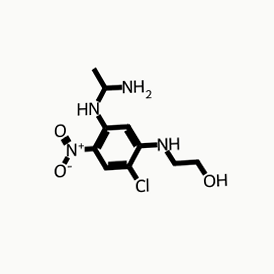 CC(N)Nc1cc(NCCO)c(Cl)cc1[N+](=O)[O-]